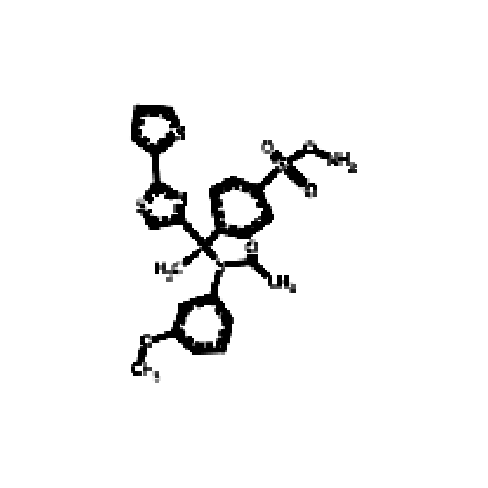 COc1cccc(N(C(C)=O)[C@@](C)(c2ccc(S(=O)(=O)ON)cc2)c2csc(-c3cccs3)n2)c1